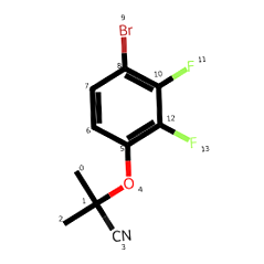 CC(C)(C#N)Oc1ccc(Br)c(F)c1F